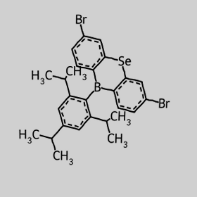 CC(C)c1cc(C(C)C)c(B2c3ccc(Br)cc3[Se]c3cc(Br)ccc32)c(C(C)C)c1